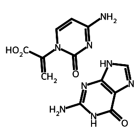 C=C(C(=O)O)n1ccc(N)nc1=O.Nc1nc2[nH]cnc2c(=O)[nH]1